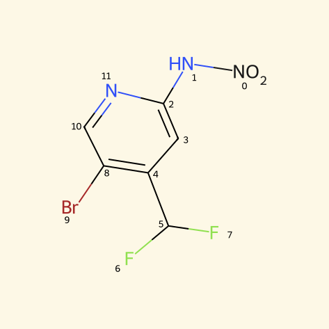 O=[N+]([O-])Nc1cc(C(F)F)c(Br)cn1